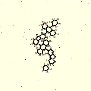 c1ccc(-c2ccc3sc4ccc(-c5c6ccccc6c(-c6cccc7sc8cc(-c9c%10ccccc%10c(-c%10ccccc%10)c%10ccccc9%10)ccc8c67)c6ccccc56)cc4c3c2)cc1